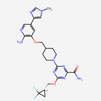 Cn1cnc(-c2cnc(N)c(OCC3CCN(c4nc(OC[C@@H]5CC5(F)F)nc(C(N)=O)n4)CC3)c2)c1